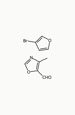 Brc1ccoc1.Cc1ncoc1C=O